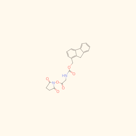 O=C(CNC(=O)OCc1cccc2c1Cc1ccccc1-2)ON1C(=O)CCC1=O